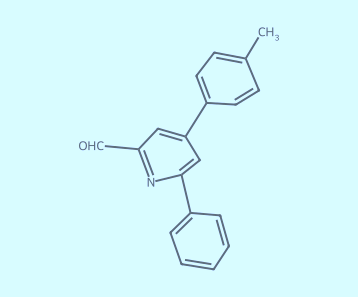 Cc1ccc(-c2cc(C=O)nc(-c3ccccc3)c2)cc1